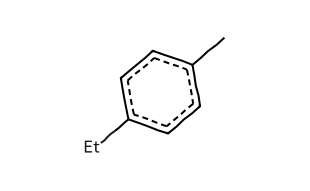 CCc1ccc(C)cc1